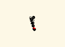 Cc1cc(C=C2SC(=O)N(c3ccccc3)C2=O)c(C)n1-c1ccc(C23CC4CC(CC2C4)C3)cc1